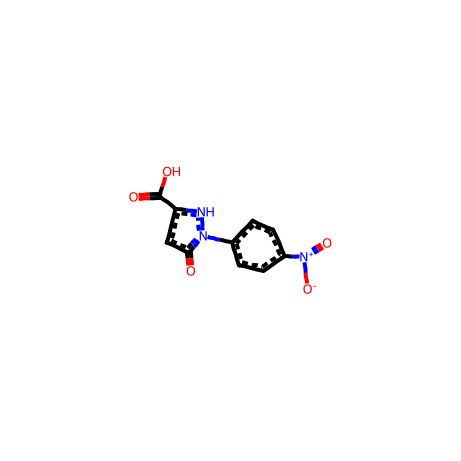 O=C(O)c1cc(=O)n(-c2ccc([N+](=O)[O-])cc2)[nH]1